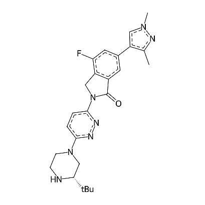 Cc1nn(C)cc1-c1cc(F)c2c(c1)C(=O)N(c1ccc(N3CCN[C@@H](C(C)(C)C)C3)nn1)C2